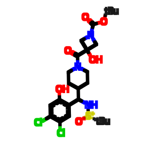 CC(C)(C)OC(=O)N1CC(O)(C(=O)N2CCC(C(N[S@@+]([O-])C(C)(C)C)c3cc(Cl)c(Cl)cc3O)CC2)C1